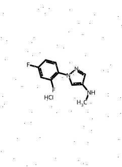 CNc1cnn(-c2ccc(F)cc2F)c1.Cl